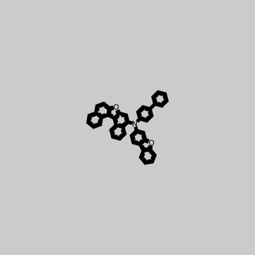 c1ccc(-c2ccc(N(c3ccc4c(c3)oc3ccccc34)c3cc4oc5ccc6ccccc6c5c4c4ccccc34)cc2)cc1